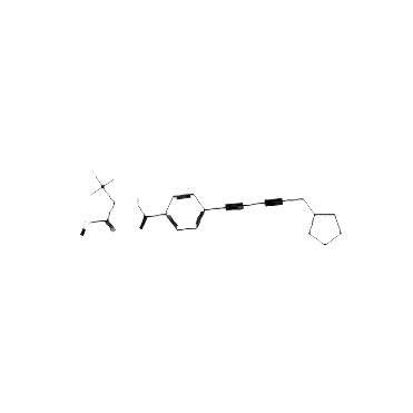 CC(C)(N)[C@H](NC(=O)c1ccc(C#CC#CCC2CCCC2)cc1)C(=O)N=O